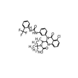 C[C@@H](c1nc2cccc(Cl)c2c(=O)n1-c1cccc(NC(=O)Nc2ccccc2C(F)(F)F)c1)N(C(=O)O)C(C)(C)C